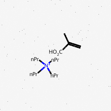 C=C(C)C(=O)O.CCC[N+](CCC)(CCC)CCC